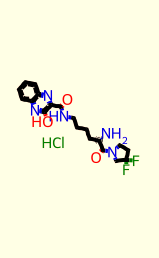 Cl.N[C@@H](CCCCNC(=O)c1nc2ccccc2nc1O)C(=O)N1CCC(F)(F)C1